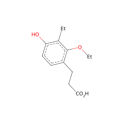 CCOc1c(CCC(=O)O)ccc(O)c1CC